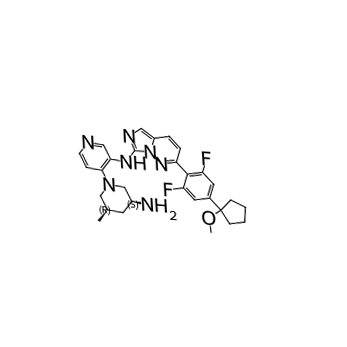 COC1(c2cc(F)c(-c3ccc4cnc(Nc5cnccc5N5C[C@H](C)C[C@H](N)C5)n4n3)c(F)c2)CCCC1